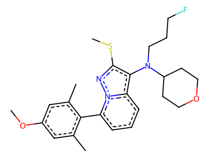 COc1cc(C)c(-c2cccc3c(N(CCCF)C4CCOCC4)c(SC)nn23)c(C)c1